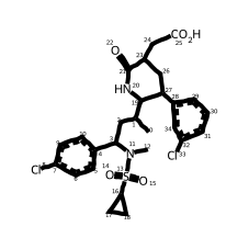 CC(CC(c1ccc(Cl)cc1)N(C)S(=O)(=O)C1CC1)C1NC(=O)C(CC(=O)O)CC1c1cccc(Cl)c1